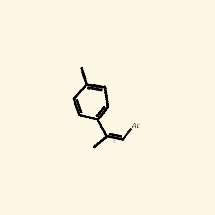 CC(=O)/C=C(/C)c1ccc(C)cc1